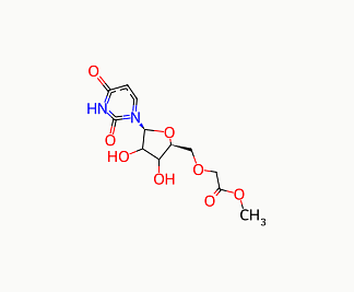 COC(=O)COC[C@@H]1O[C@H](n2ccc(=O)[nH]c2=O)C(O)C1O